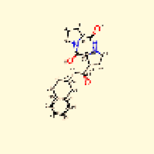 O=C[C@@H]1CCCN1C(=O)[C@H]1NCCC1C(=O)C[C@H]1CCc2ccccc2C1